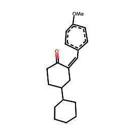 COc1ccc(/C=C2/CC(C3CCCCC3)CCC2=O)cc1